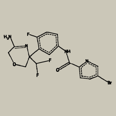 NC1=NC(c2cc(NC(=O)c3ccc(Br)cn3)ccc2F)(C(F)F)COC1